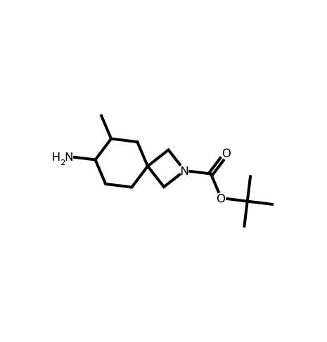 CC1CC2(CCC1N)CN(C(=O)OC(C)(C)C)C2